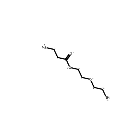 O=C(CCS)OCCOCCS